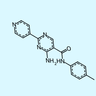 Cc1ccc(NC(=O)c2cnc(-c3ccncc3)nc2N)cc1